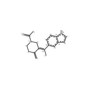 C=C1CCN(C(C)=O)C/C1=C(/C)c1ccc2[nH]ccc2c1